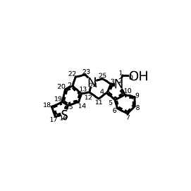 OCn1c2c(c3ccccc31)CC1c3cc4sccc4cc3CCN1C2